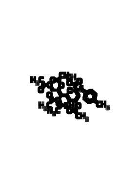 COC(=O)[C@]1(Sc2ccc(C)cc2)C[C@H](OC(C)=O)[C@@H](NC(C)=O)[C@H]([C@H](OC(C)=O)[C@@H](COC(C)=O)OC(C)=O)O1